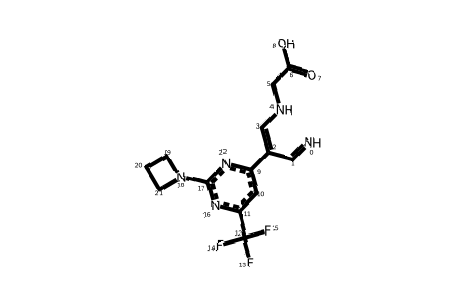 N=C/C(=C\NCC(=O)O)c1cc(C(F)(F)F)nc(N2CCC2)n1